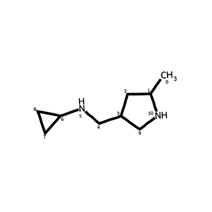 CC1CC(CNC2CC2)CN1